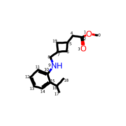 COC(=O)CC1CC(CNc2ccccc2C(C)C)C1